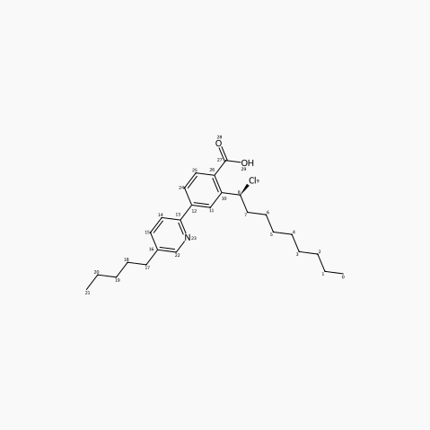 CCCCCCCC[C@H](Cl)c1cc(-c2ccc(CCCCC)cn2)ccc1C(=O)O